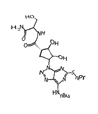 CCCCNc1nc(SCCC)nc2c1nnn2C1C[C@H](C(=O)NC(CO)C(N)=O)C(O)C1O